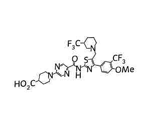 COc1ccc(-c2nc(NC(=O)c3cnc(N4CCC(C(=O)O)CC4)cn3)sc2CN2CCCC(C(F)(F)F)C2)cc1C(F)(F)F